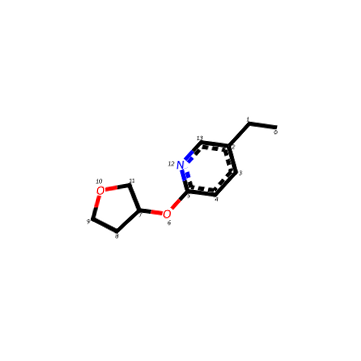 CCc1ccc(OC2CCOC2)nc1